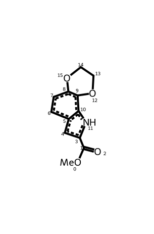 COC(=O)c1cc2ccc3c(c2[nH]1)OCCO3